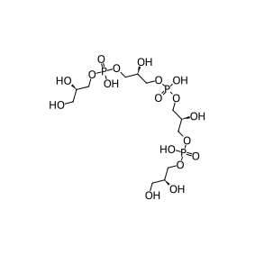 O=P(O)(OC[C@@H](O)COP(=O)(O)OC[C@@H](O)CO)OC[C@H](O)COP(=O)(O)OC[C@H](O)CO